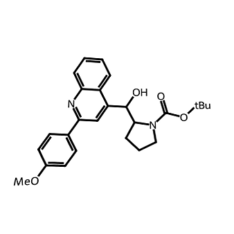 COc1ccc(-c2cc(C(O)C3CCCN3C(=O)OC(C)(C)C)c3ccccc3n2)cc1